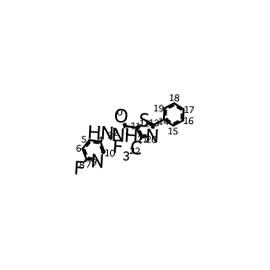 O=C(NNc1ccc(F)nc1)c1sc(-c2ccccc2)nc1C(F)(F)F